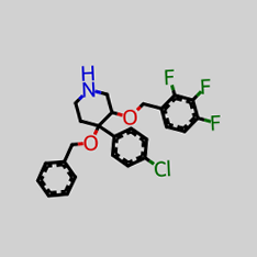 Fc1ccc(COC2CNCCC2(OCc2ccccc2)c2ccc(Cl)cc2)c(F)c1F